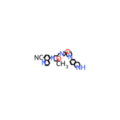 CC1CN(c2ccc(C#N)c3ncccc23)CC(CN2CC3(C2)CN(c2ccc4c(c2)CCNC4)CCO3)O1